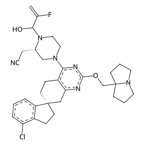 C=C(F)C(O)N1CCN(c2nc(OCC34CCCN3CCC4)nc3c2CC[C@@]2(CCc4c(Cl)cccc42)C3)C[C@@H]1CC#N